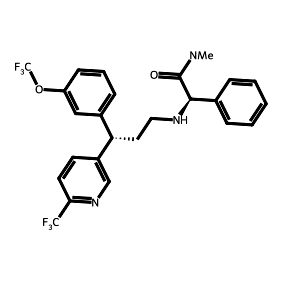 CNC(=O)[C@H](NCC[C@H](c1ccc(C(F)(F)F)nc1)c1cccc(OC(F)(F)F)c1)c1ccccc1